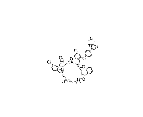 C[C@H]1CNC(=O)C[C@H](Cc2ccc(Cl)cc2)N(C)C(=O)[C@H](C2COC2)NC(=O)[C@H](C)N(Cc2ccc(Cl)cc2Oc2ccc(-c3cnc(CN(C)C)n3C)cc2)C(=O)C[C@@H](Cc2ccccc2)C(=O)N1C